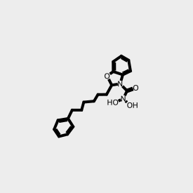 O=C(N(O)O)N1c2ccccc2OC1CCCCCCc1ccccc1